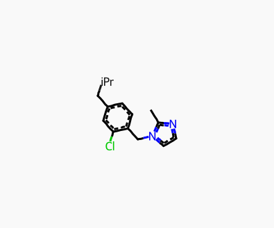 Cc1nccn1Cc1ccc(CC(C)C)cc1Cl